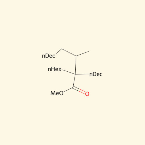 CCCCCCCCCCCC(C)C(CCCCCC)(CCCCCCCCCC)C(=O)OC